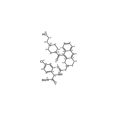 CNC(=O)C(NC(=O)CN1CCc2nc3ccccc3c(C(=O)N3CCN(CCO)CC3)c2C1)c1ccc(Cl)cc1